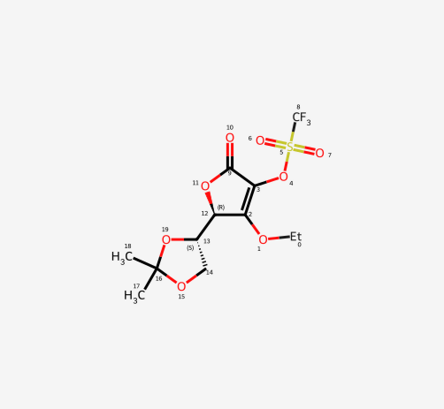 CCOC1=C(OS(=O)(=O)C(F)(F)F)C(=O)O[C@@H]1[C@@H]1COC(C)(C)O1